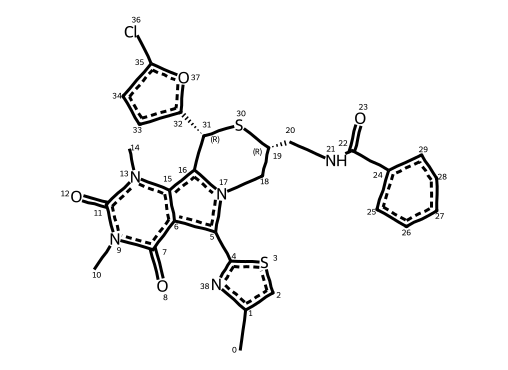 Cc1csc(-c2c3c(=O)n(C)c(=O)n(C)c3c3n2C[C@@H](CNC(=O)c2ccccc2)S[C@H]3c2ccc(Cl)o2)n1